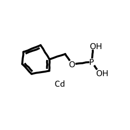 OP(O)OCc1ccccc1.[Cd]